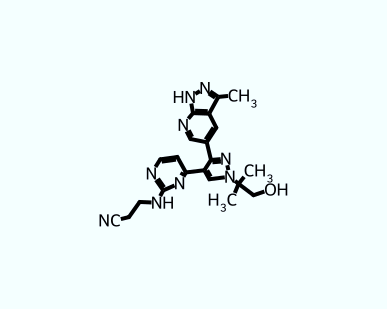 Cc1n[nH]c2ncc(-c3nn(C(C)(C)CO)cc3-c3ccnc(NCCC#N)n3)cc12